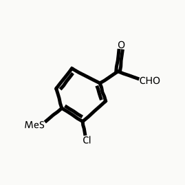 CSc1ccc(C(=O)C=O)cc1Cl